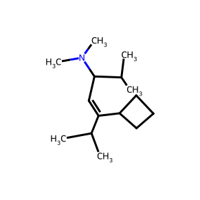 CC(C)/C(=C/C(C(C)C)N(C)C)C1CCC1